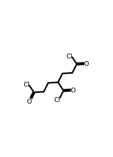 O=C(Cl)CCC(CCC(=O)Cl)C(=O)Cl